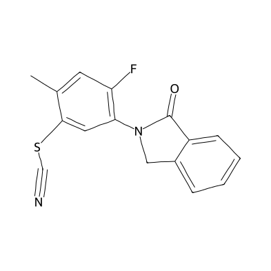 Cc1cc(F)c(N2Cc3ccccc3C2=O)cc1SC#N